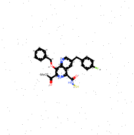 COC(=O)c1nc(C(=O)NS)c2cc(Cc3ccc(F)cc3)cnc2c1OCc1ccccc1